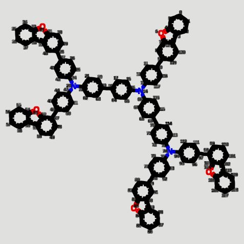 c1ccc2c(c1)oc1cc(-c3ccc(N(c4ccc(-c5ccc(N(c6ccc(-c7ccc8oc9ccccc9c8c7)cc6)c6ccc(-c7cccc8c7oc7ccccc78)cc6)cc5)cc4)c4ccc(-c5ccc(N(c6ccc(-c7ccc8oc9ccccc9c8c7)cc6)c6ccc(-c7cccc8c7oc7ccccc78)cc6)cc5)cc4)cc3)ccc12